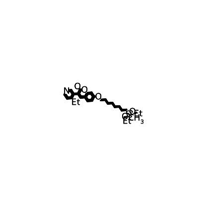 CCO[Si](C)(CCCCCCCCOc1ccc2cc(-c3cnccc3CC)c(=O)oc2c1)OCC